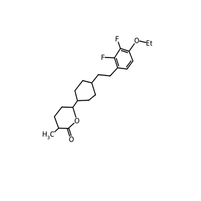 CCOc1ccc(CCC2CCC(C3CCC(C)C(=O)O3)CC2)c(F)c1F